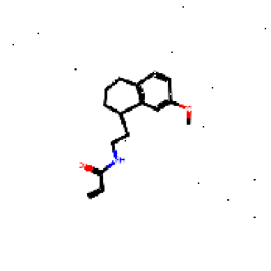 C=CC(=O)NCCC1CCCc2ccc(OC)cc21